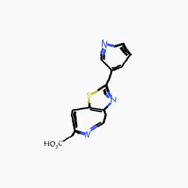 O=C(O)c1cc2sc(-c3cccnc3)nc2cn1